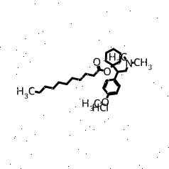 CCCCCCCCCCC(=O)OC1(C(CN(C)C)c2ccc(OC)cc2)CCCCC1.Cl